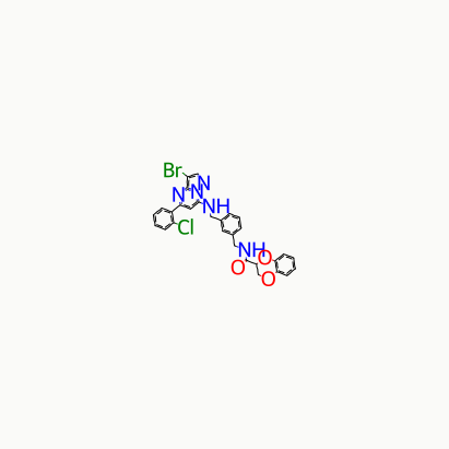 O=C(NCc1cccc(CNc2cc(-c3ccccc3Cl)nc3c(Br)cnn23)c1)C1COc2ccccc2O1